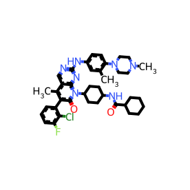 Cc1cc(Nc2ncc3c(C)c(-c4cccc(F)c4Cl)c(=O)n(C4CCC(NC(=O)C5CCCCC5)CC4)c3n2)ccc1N1CCN(C)CC1